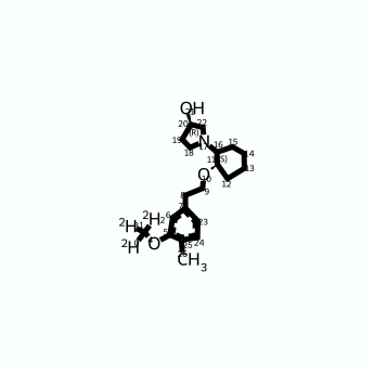 [2H]C([2H])([2H])Oc1cc(CCO[C@H]2CCCCC2N2CC[C@@H](O)C2)ccc1C